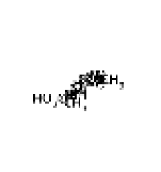 C/C(=N\Nc1ccc(Oc2ccc(S(C)(=O)=O)nc2)cc1)C(=O)O